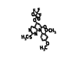 COc1ccc(-n2c(=O)cc(OS(=O)(=O)C(F)(F)F)c3cnc(SC)nc32)c(OC)c1